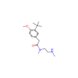 CNCCN(C)C(=O)Cc1ccc(OC)c(C(C)(C)C)c1